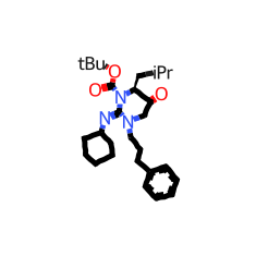 CC(C)C[C@H]1C(=O)CN(CCCc2ccccc2)C(=NC2CCCCC2)N1C(=O)OC(C)(C)C